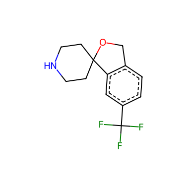 FC(F)(F)c1ccc2c(c1)C1(CCNCC1)OC2